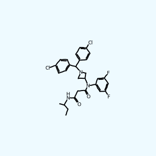 CCC(C)NC(=O)CC(=O)N(c1cc(F)cc(F)c1)C1CN(C(c2ccc(Cl)cc2)c2ccc(Cl)cc2)C1